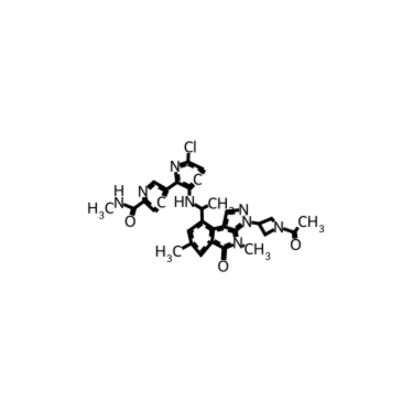 CNC(=O)c1ccc(-c2nc(Cl)ccc2NC(C)c2cc(C)cc3c(=O)n(C)c4c(cnn4C4CN(C(C)=O)C4)c23)cn1